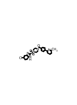 Cc1cccc(-c2ccc(C(=O)N3CCN(S(=O)(=O)c4nc5cc(Cl)ccc5[nH]4)CC3)cc2)n1